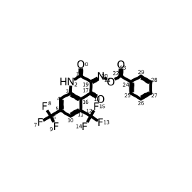 O=C1Nc2cc(C(F)(F)F)cc(C(F)(F)F)c2C(=O)C1=NOC(=O)c1ccccc1